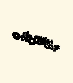 CCOC(=O)c1[nH]nc2c1CC1C3CCc4cc(OCc5ccccc5)c(CC)cc4C3CC[C@]21C